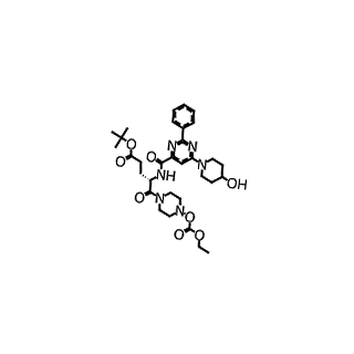 CCOC(=O)ON1CCN(C(=O)[C@H](CCC(=O)OC(C)(C)C)NC(=O)c2cc(N3CCC(O)CC3)nc(-c3ccccc3)n2)CC1